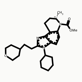 COC(=O)N1c2ccc3c(nc(CCC4CCOCC4)n3C3CCCCC3)c2CC[C@@H]1C